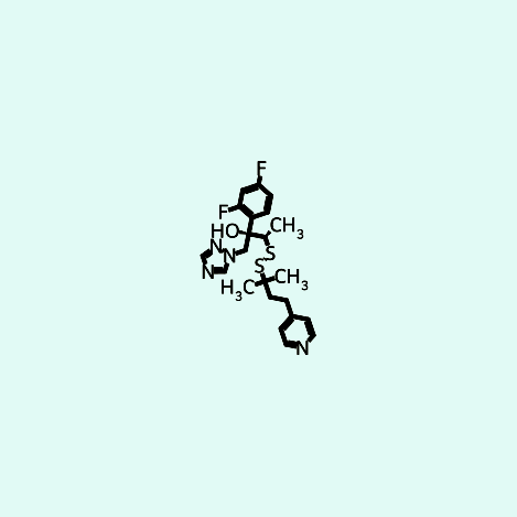 C[C@@H](SSC(C)(C)CCc1ccncc1)[C@](O)(Cn1cncn1)c1ccc(F)cc1F